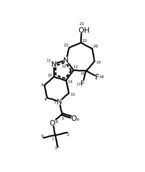 CC(C)(C)OC(=O)N1CCc2nn3c(c2C1)C(F)(F)CCC(O)C3